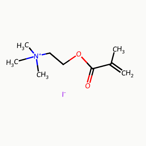 C=C(C)C(=O)OCC[N+](C)(C)C.[I-]